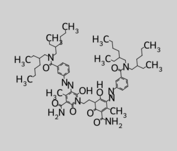 CCCCC(CC)CN(CC(CC)CCCC)C(=O)c1cccc(/N=N/C2=C(O)C(CCn3c(O)c(/N=N/c4cccc(C(=O)N(CC(CC)CCCC)CC(CC)CCCC)c4)c(C)c(C(N)=O)c3=O)C(=O)C(C(N)=O)=C2C)c1